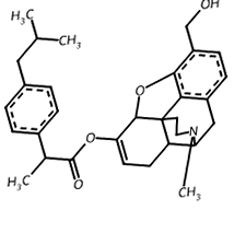 CC(C)Cc1ccc(C(C)C(=O)OC2=CCC3C4Cc5ccc(CO)c6c5C3(CCN4C)C2O6)cc1